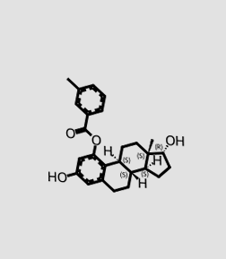 Cc1cccc(C(=O)Oc2cc(O)cc3c2[C@H]2CC[C@]4(C)[C@H](O)CC[C@H]4[C@@H]2CC3)c1